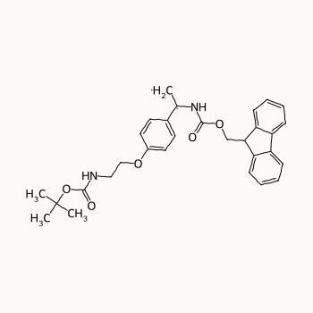 [CH2][C](NC(=O)OCC1c2ccccc2-c2ccccc21)c1ccc(OCCNC(=O)OC(C)(C)C)cc1